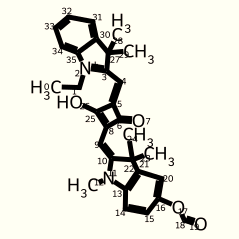 CC[N+]1=C(/C=C2/C(=O)C(/C=C3/N(C)c4ccc(OC=O)cc4C3(C)C)=C2O)C(C)(C)c2ccccc21